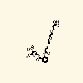 Cc1nc(NC(=O)c2ccccc2NC(=O)CCOCCOCCOCCC(=O)O)sc1[N+](=O)[O-]